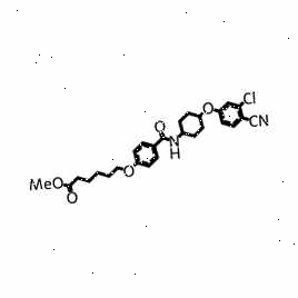 COC(=O)CCCCCOc1ccc(C(=O)NC2CCC(Oc3ccc(C#N)c(Cl)c3)CC2)cc1